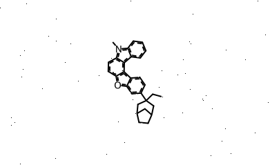 CCC1(c2ccc3c(c2)oc2ccc4c(c5ccccc5n4C)c23)CC2CCC(C2)C1